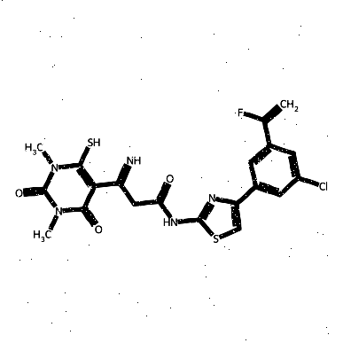 C=C(F)c1cc(Cl)cc(-c2csc(NC(=O)CC(=N)c3c(S)n(C)c(=O)n(C)c3=O)n2)c1